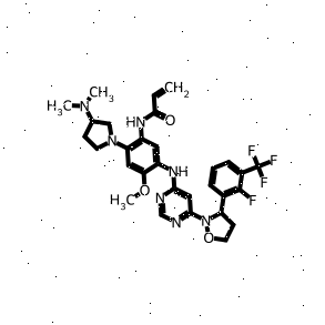 C=CC(=O)Nc1cc(Nc2cc(N3OCCC3c3cccc(C(F)(F)F)c3F)ncn2)c(OC)cc1N1CCC(N(C)C)C1